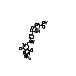 CN1C(=O)c2nc(N)nc(=O)n2CC1CNc1ccc(C(=O)N[C@@H](CCC(=O)O)C(=O)O)cc1